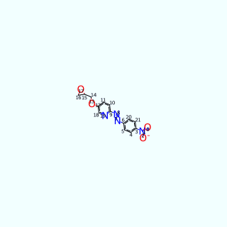 O=[N+]([O-])c1ccc(N=Nc2ccc(OCC3CO3)cn2)cc1